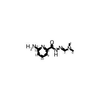 CN(C)/C=N/NC(=O)c1cccc(N)n1